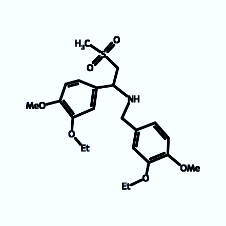 CCOc1cc(CNC(CS(C)(=O)=O)c2ccc(OC)c(OCC)c2)ccc1OC